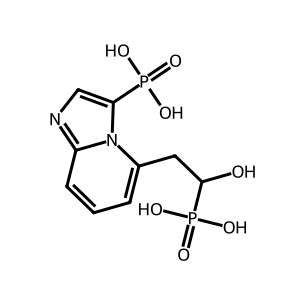 O=P(O)(O)c1cnc2cccc(CC(O)P(=O)(O)O)n12